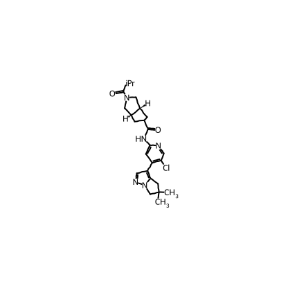 CC(C)C(=O)N1C[C@H]2CC(C(=O)Nc3cc(-c4cnn5c4CC(C)(C)C5)c(Cl)cn3)C[C@H]2C1